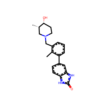 Cc1c(CN2CC[C@@H](O)[C@@H](C)C2)cccc1-c1ccc2[nH]c(=O)[nH]c2c1